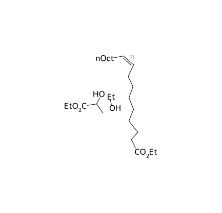 CCCCCCCC/C=C\CCCCCCCC(=O)OCC.CCO.CCOC(=O)C(C)O